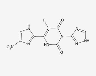 O=c1[nH]c(-c2nc([N+](=O)[O-])c[nH]2)c(F)c(=O)n1-c1nc[nH]n1